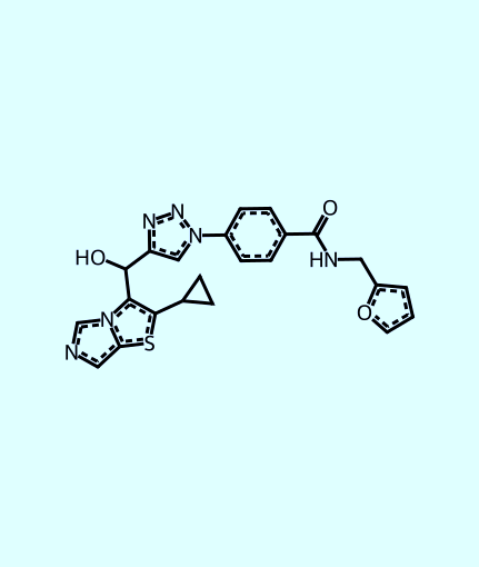 O=C(NCc1ccco1)c1ccc(-n2cc(C(O)c3c(C4CC4)sc4cncn34)nn2)cc1